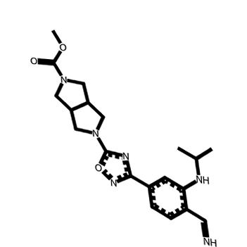 COC(=O)N1CC2CN(c3nc(-c4ccc(C=N)c(NC(C)C)c4)no3)CC2C1